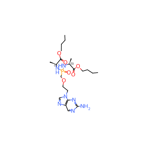 CCCCOC(=O)[C@H](C)NP(=O)(COCCn1cnc2cnc(N)nc21)N[C@@H](C)C(=O)OCCCC